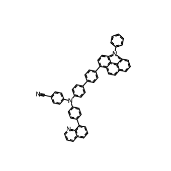 N#Cc1ccc(N(c2ccc(-c3ccc(-c4ccc5c6c4ccc4cccc(c46)n5-c4ccccc4)cc3)cc2)c2ccc(-c3cccc4cccnc34)cc2)cc1